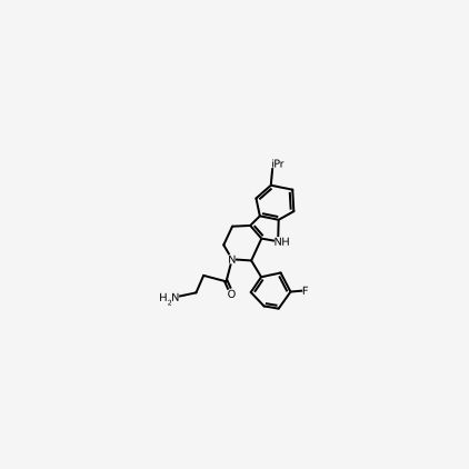 CC(C)c1ccc2[nH]c3c(c2c1)CCN(C(=O)CCN)C3c1cccc(F)c1